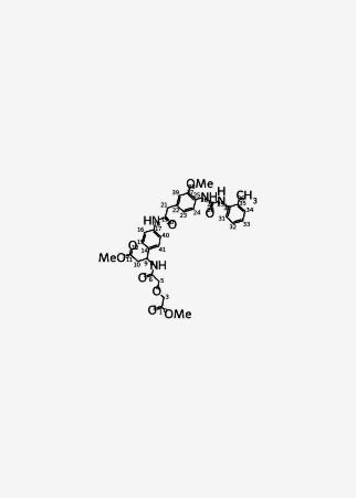 COC(=O)COCC(=O)NC(CC(=O)OC)c1ccc(NC(=O)Cc2ccc(NC(=O)Nc3ccccc3C)c(OC)c2)cc1